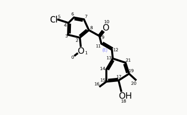 COc1cc(Cl)ccc1C(=O)/C=C/c1cc(C)c(O)c(C)c1